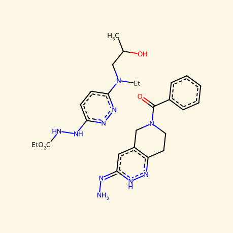 CCOC(=O)NNc1ccc(N(CC)CC(C)O)nn1.N/N=c1/cc2c(n[nH]1)CCN(C(=O)c1ccccc1)C2